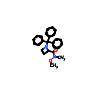 CON(C)C(=O)C1CCN1C(c1ccccc1)(c1ccccc1)c1ccccc1